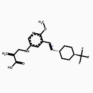 C=C(CNc1cnc(OC)c(/C=C/[C@H]2CC[C@H](C(F)(F)F)CC2)c1)C(=O)O